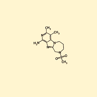 Cc1nc(N)c2nc3n(c2c1C)CCCN(S(C)(=O)=O)C3